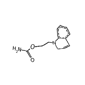 NC(=O)OCCN1CC=Cc2ccccc21